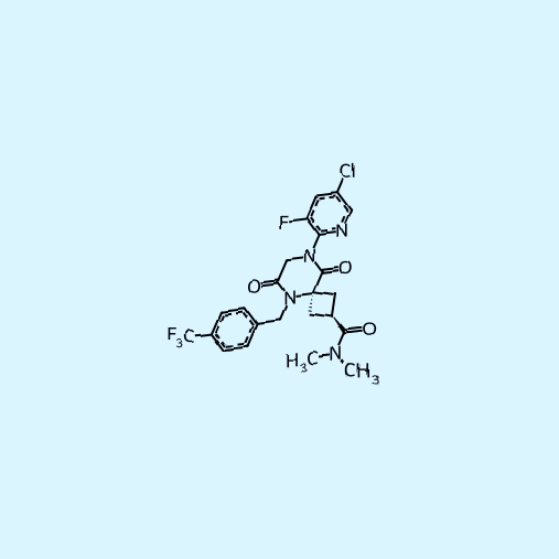 CN(C)C(=O)[C@H]1C[C@@]2(C1)C(=O)N(c1ncc(Cl)cc1F)CC(=O)N2Cc1ccc(C(F)(F)F)cc1